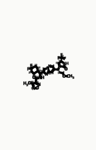 COCC[C@H](c1cnn2cc(C(NC(=O)c3nonc3C)C3CCC(F)(F)CC3)nc2c1)N1C[C@@H](C(F)(F)F)NC1=O